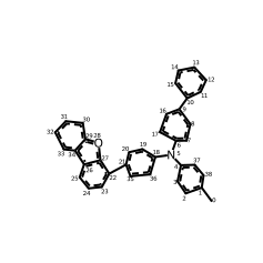 Cc1ccc(N(c2ccc(-c3ccccc3)cc2)c2ccc(-c3cccc4c3oc3ccccc34)cc2)cc1